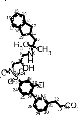 CN(C[C@H](O)CNC(C)(C)CC1Cc2ccccc2C1)S(=O)(=O)c1ccc(-c2cccc(CCC(=O)O)n2)c(Cl)c1